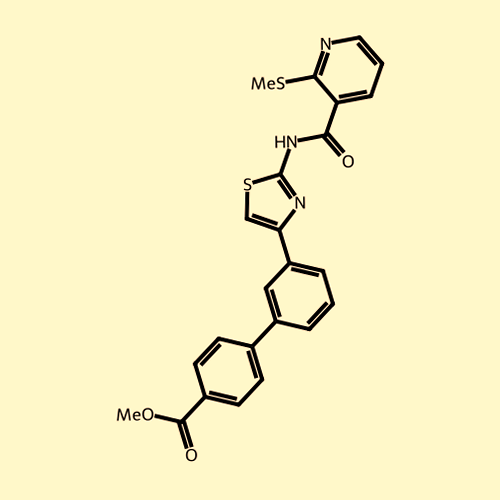 COC(=O)c1ccc(-c2cccc(-c3csc(NC(=O)c4cccnc4SC)n3)c2)cc1